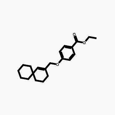 CCOC(=O)c1ccc(OCC2=CC3(CCCCC3)CCC2)cc1